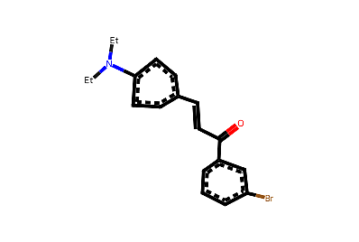 CCN(CC)c1ccc(C=CC(=O)c2cccc(Br)c2)cc1